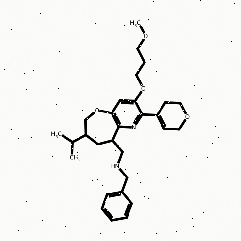 COCCCOc1cc2c(nc1C1=CCOCC1)C(CNCc1ccccc1)CC(C(C)C)CO2